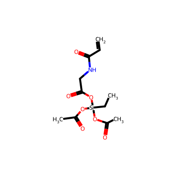 C=CC(=O)NCC(=O)O[Si](CC)(OC(C)=O)OC(C)=O